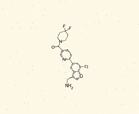 NCc1coc2c(Cl)cc(-c3ccc(C(=O)N4CCC(F)(F)CC4)cn3)cc12